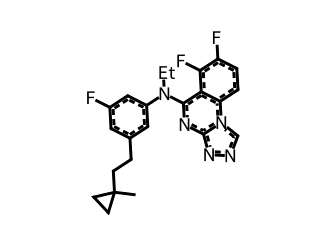 CCN(c1cc(F)cc(CCC2(C)CC2)c1)c1nc2nncn2c2ccc(F)c(F)c12